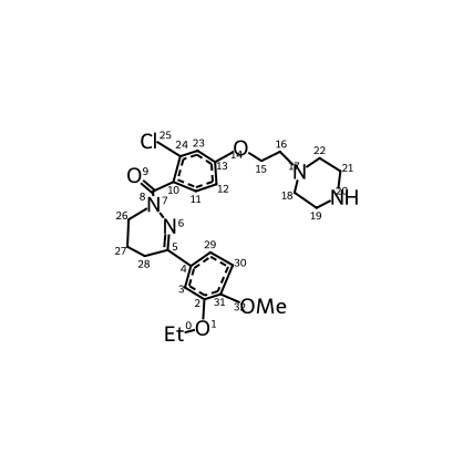 CCOc1cc(C2=NN(C(=O)c3ccc(OCCN4CCNCC4)cc3Cl)CCC2)ccc1OC